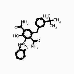 CC(C)(C)c1cccc(Cc2cc(C(N)=O)c(O)c(-n3nc4ccccc4n3)c2C(N)=O)c1